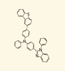 c1ccc(N(c2ccc(-c3ccc4sc5ccccc5c4c3)cc2)c2ccc(-c3nc4ccccc4n3-c3ccccc3)cc2)cc1